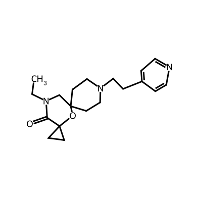 CCN1CC2(CCN(CCc3ccncc3)CC2)OC2(CC2)C1=O